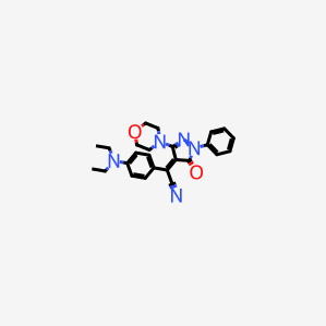 CCN(CC)c1ccc(/C(C#N)=C2/C(=O)N(c3ccccc3)N=C2N2CCOCC2)cc1